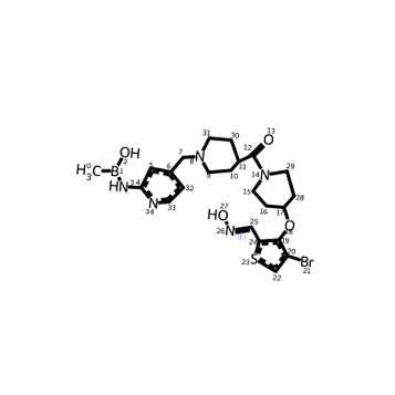 CB(O)Nc1cc(CN2CCC(C(=O)N3CCC(Oc4c(Br)csc4/C=N/O)CC3)CC2)ccn1